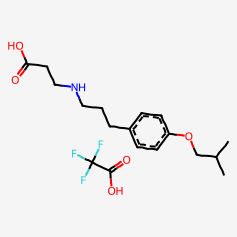 CC(C)COc1ccc(CCCNCCC(=O)O)cc1.O=C(O)C(F)(F)F